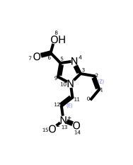 C/C=C\c1nc(C(=O)O)cn1/C=C/[N+](=O)[O-]